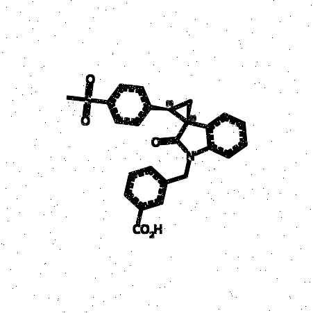 CS(=O)(=O)c1ccc([C@H]2C[C@@]23C(=O)N(Cc2cccc(C(=O)O)c2)c2ccccc23)cc1